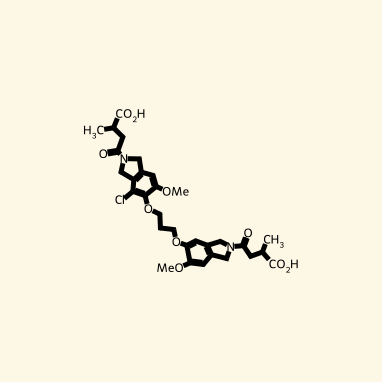 COc1cc2c(cc1OCCCOc1c(OC)cc3c(c1Cl)CN(C(=O)CC(C)C(=O)O)C3)CN(C(=O)CC(C)C(=O)O)C2